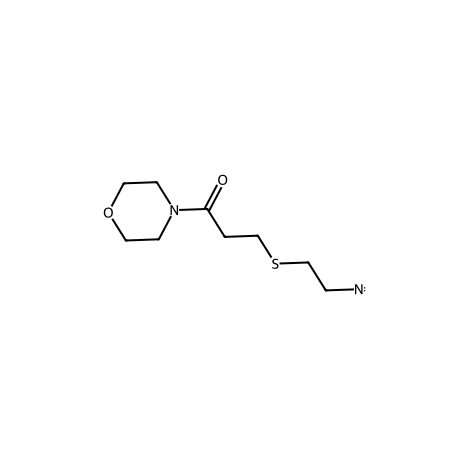 [N]CCSCCC(=O)N1CCOCC1